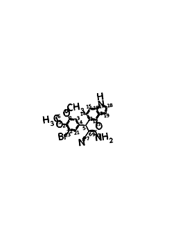 COc1cc(C2C(C#N)=C(N)Oc3c2ccc2[nH]ccc32)cc(Br)c1OC